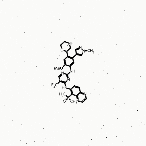 COc1cc(C2CNCCO2)c(-c2cnn(C)c2)cc1Nc1ncc(C(F)(F)F)c(Nc2ccc3nccnc3c2P(C)(C)=O)n1